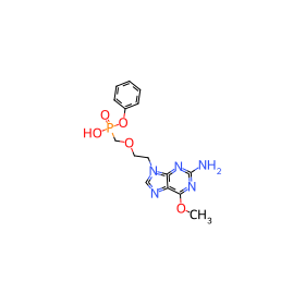 COc1nc(N)nc2c1ncn2CCOCP(=O)(O)Oc1ccccc1